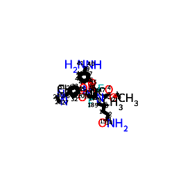 CCOC(=O)C(C)(C)N(CCCCC(N)=O)c1c(F)c(Oc2cccc(C3=NCCN3C)c2)nc(Oc2cc(C(=N)N)ccc2O)c1F